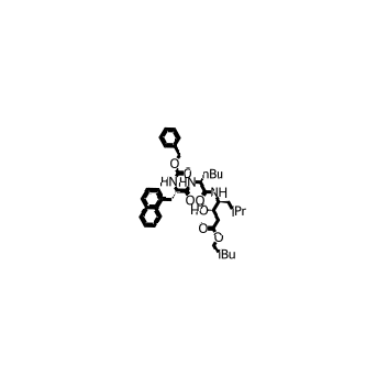 CCCC[C@H](NC(=O)[C@H](Cc1cccc2ccccc12)NC(=O)OCc1ccccc1)C(=O)N[C@@H](CC(C)C)[C@@H](O)CC(=O)OCC(C)CC